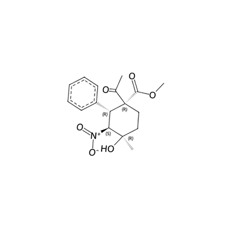 COC(=O)[C@]1(C(C)=O)CC[C@@](C)(O)[C@@H]([N+](=O)[O-])[C@@H]1c1ccccc1